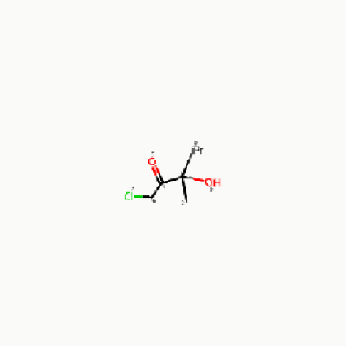 CC(C)C(C)(O)C(=O)CCl